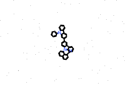 N#Cc1cccc2cccc(-n3c4ccccc4c4cc(-c5ccc6c7ccccc7n(-c7ccccc7)c6c5)ccc43)c12